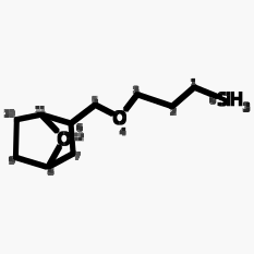 [SiH3]CCCOCC1CC2CCC1O2